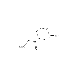 CCC[C@H]1CN(C(=O)COC)CCO1